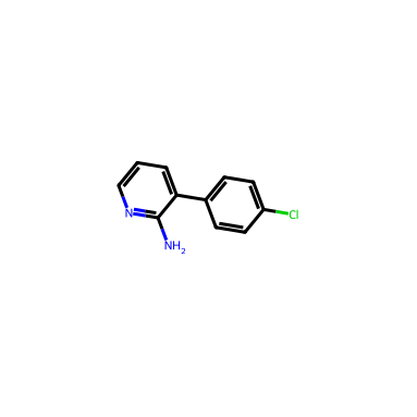 Nc1ncccc1-c1ccc(Cl)cc1